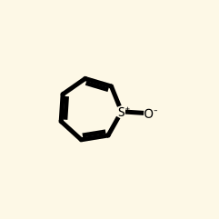 [O-][S+]1C=CC=CC=C1